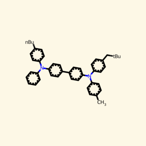 CCCCc1ccc(N(c2ccccc2)c2ccc(-c3ccc(N(c4ccc(C)cc4)c4ccc(CC(C)(C)C)cc4)cc3)cc2)cc1